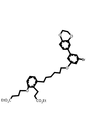 CCOC(=O)CCCOc1cccc(CCCCCCOc2cc(Br)cc(-c3ccc4c(c3)OCCO4)c2)c1CCC(=O)OCC